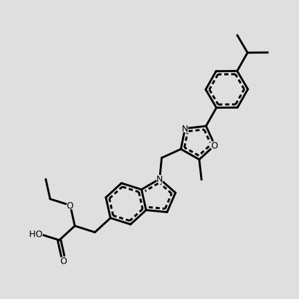 CCOC(Cc1ccc2c(ccn2Cc2nc(-c3ccc(C(C)C)cc3)oc2C)c1)C(=O)O